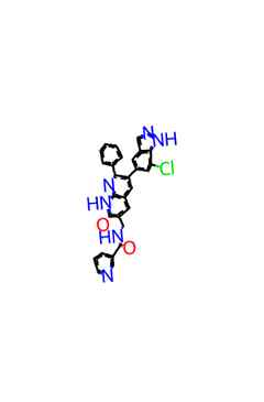 O=C(NCc1cc2cc(-c3cc(Cl)c4[nH]ncc4c3)c(-c3ccccc3)nc2[nH]c1=O)c1cccnc1